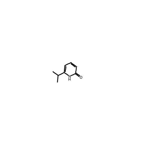 CC(C)c1cc[c]c(=O)[nH]1